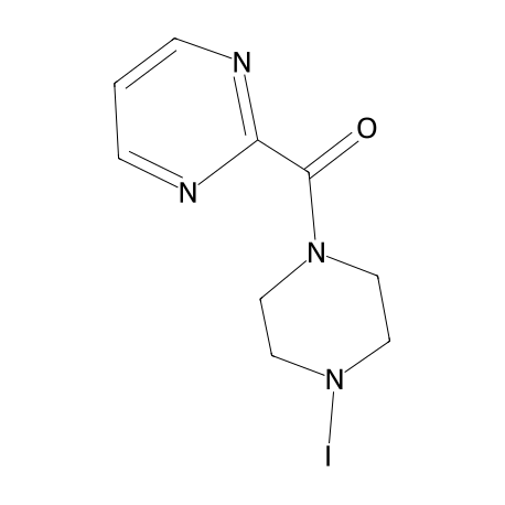 O=C(c1ncccn1)N1CCN(I)CC1